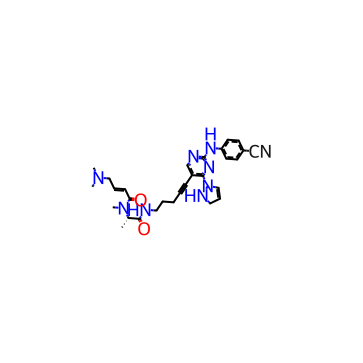 C[C@@H](C(=O)NCCCC#Cc1cnc(Nc2ccc(C#N)cc2)nc1N1C=CCN1)N(C)C(=O)/C=C/CN(C)C